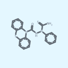 NC(=S)N(NC(=O)N1c2ccccc2Sc2ccccc21)c1ccccc1